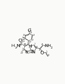 C=CO/C(=C\N)c1cn2c(-c3ccc(Cl)cc3Cl)c(CN)c(C)nc2n1